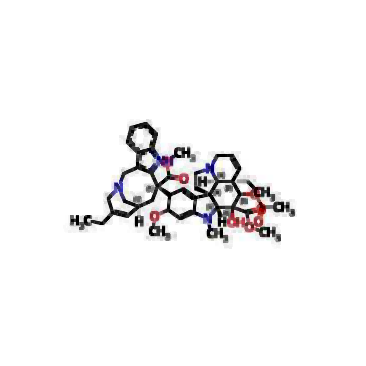 CCC1=C[C@H]2CN(C1)Cc1c([nH]c3ccccc13)[C@@](C(=O)OC)(C1C=C3C(=CC1OC)N(C)[C@H]1[C@@](O)(C(=O)OC)[C@H](OC(C)=O)[C@]4(CC)C=CCN5CC[C@]31[C@@H]54)C2